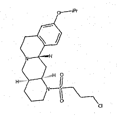 CC(C)Oc1ccc2c(c1)CCN1C[C@@H]3CCCN(S(=O)(=O)CCCCl)[C@@H]3C[C@@H]21